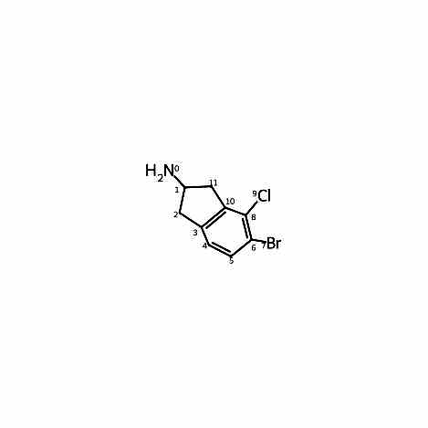 NC1Cc2ccc(Br)c(Cl)c2C1